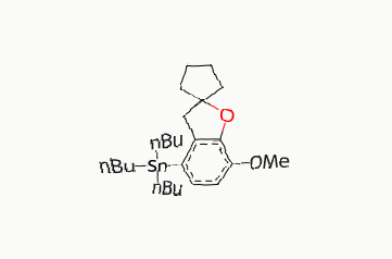 CCC[CH2][Sn]([CH2]CCC)([CH2]CCC)[c]1ccc(OC)c2c1CC1(CCCC1)O2